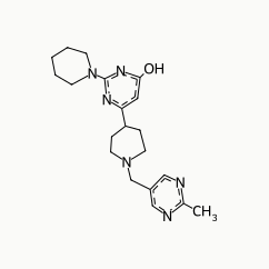 Cc1ncc(CN2CCC(c3cc(O)nc(N4CCCCC4)n3)CC2)cn1